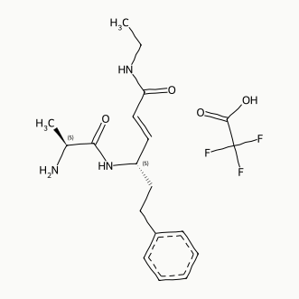 CCNC(=O)C=C[C@H](CCc1ccccc1)NC(=O)[C@H](C)N.O=C(O)C(F)(F)F